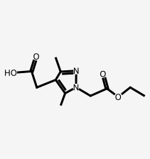 CCOC(=O)Cn1nc(C)c(CC(=O)O)c1C